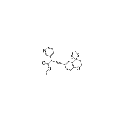 CCOC(=O)C(C#Cc1ccc2c(c1)C(SC)(SC)CCO2)c1cccnc1